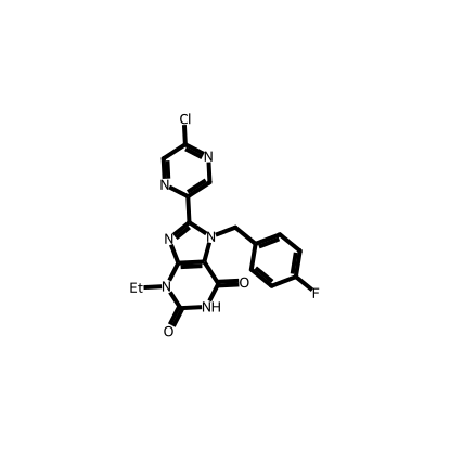 CCn1c(=O)[nH]c(=O)c2c1nc(-c1cnc(Cl)cn1)n2Cc1ccc(F)cc1